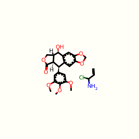 C=CC(N)Cl.COc1cc([C@@H]2c3cc4c(cc3[C@H](O)[C@H]3COC(=O)[C@H]23)OCO4)cc(OC)c1OC